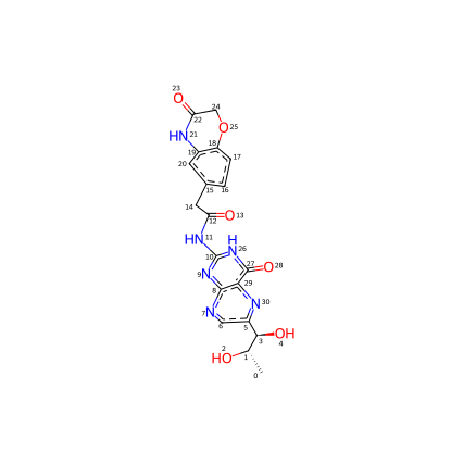 C[C@H](O)[C@H](O)c1cnc2nc(NC(=O)Cc3ccc4c(c3)NC(=O)CO4)[nH]c(=O)c2n1